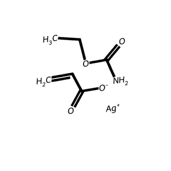 C=CC(=O)[O-].CCOC(N)=O.[Ag+]